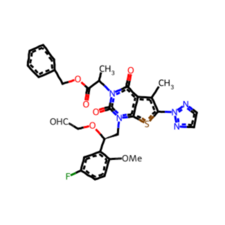 COc1ccc(F)cc1[C@H](Cn1c(=O)n(C(C)C(=O)OCc2ccccc2)c(=O)c2c(C)c(-n3nccn3)sc21)OCC=O